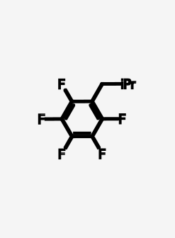 CC(C)Cc1c(F)c(F)c(F)c(F)c1F